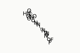 O=C1CCC(N2C(=O)c3ccc(N4CCN(CCC5CCN(c6ccn7cc(-c8ccc(F)c(F)c8)nc7c6)CC5)CC4)cc3C2=O)C(=O)N1